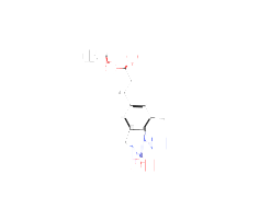 Cc1cc(CCC(=O)OC(C)(C)C)cc2c1NN(O)C2